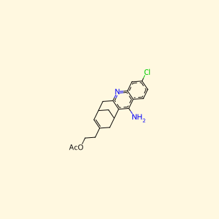 CC(=O)OCCC1=CC2Cc3nc4cc(Cl)ccc4c(N)c3C(C1)C2